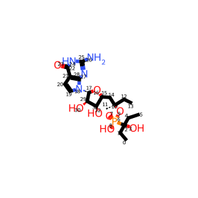 CCC(O)(CC)P(=O)(O)O[C@](C)(CC)CC1O[C@@H](n2ccc3c(=O)[nH]c(N)nc32)[C@H](O)[C@@H]1O